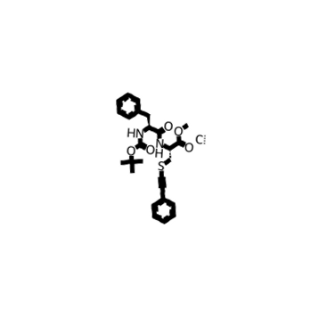 COC(=O)[C@H](CSC#Cc1ccccc1)NC(=O)[C@H](Cc1ccccc1)NC(=O)OC(C)(C)C.[C]